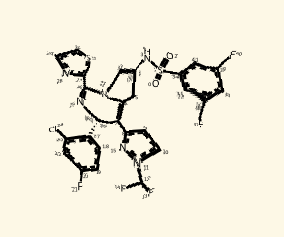 O=S(=O)(N[C@H]1CC2=C(c3ccn(C(F)F)n3)[C@H](c3ccc(F)cc3Cl)N=C(c3nccs3)N2C1)c1cc(F)cc(F)c1